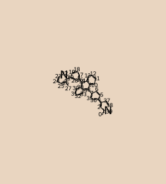 Cc1cc(-c2ccc(-c3c4ccccc4c(-c4cccc(-c5ncccc5C)c4)c4ccccc34)cc2)ccn1